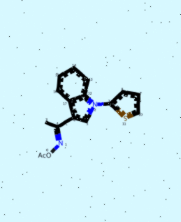 CC(=O)O/N=C(\C)c1cn(-c2cccs2)c2ccccc12